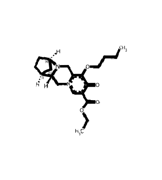 CCCCOc1c2n(cc(C(=O)OCC)c1=O)C[C@@H]1[C@H]3CC[C@H](C3)N1C2